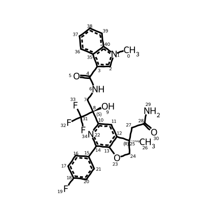 Cn1cc(C(=O)NC[C@](O)(c2cc3c(c(-c4ccc(F)cc4)n2)OC[C@]3(C)CC(N)=O)C(F)(F)F)c2ccccc21